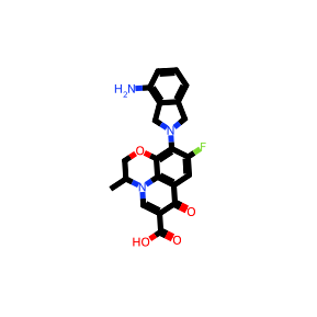 CC1COc2c(N3Cc4cccc(N)c4C3)c(F)cc3c(=O)c(C(=O)O)cn1c23